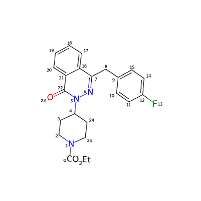 CCOC(=O)N1CCC(n2nc(Cc3ccc(F)cc3)c3ccccc3c2=O)CC1